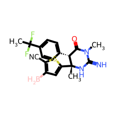 Bc1cc([C@@]2(C)NC(=N)N(C)C(=O)[C@H]2c2ccc(C(C)(F)F)cc2)sc1C#N